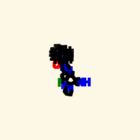 [2H]C1([2H])N(C(=O)N2CCn3cc(-c4c[nH]cc4-c4cnc5ccccn45)c4cc(F)cc(c43)C2)C([2H])([2H])C([2H])([2H])C([2H])([2H])C1([2H])[2H]